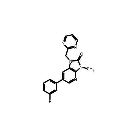 Cn1c(=O)n(Cc2ncccn2)c2cc(-c3cccc(F)c3)cnc21